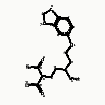 CCCCCC(CCOc1ccc2c(c1)OCO2)CCC(C(=O)CC)C(=O)CC